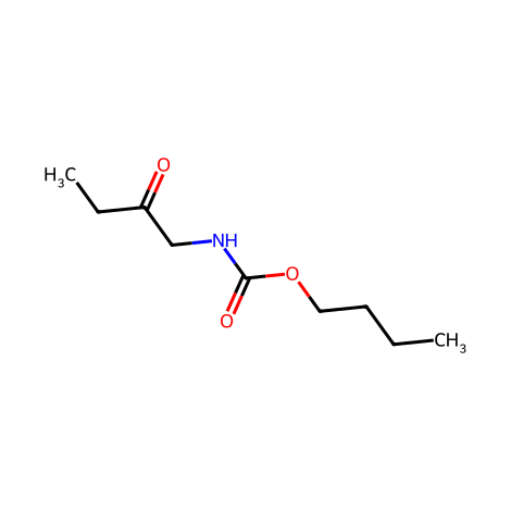 CCCCOC(=O)NCC(=O)CC